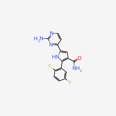 NC(=O)c1cc(-c2ccnc(N)n2)[nH]c1-c1cc(F)ccc1F